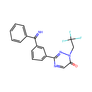 N=C(c1ccccc1)c1cccc(-c2ncc(=O)n(CC(F)(F)F)n2)c1